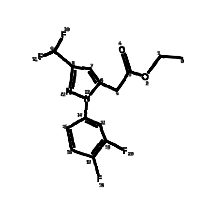 CCOC(=O)Cc1cc(C(F)F)nn1-c1ccc(F)c(F)c1